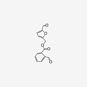 O=Cc1ccc(COC(=O)c2ccccc2C=O)o1